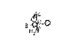 BOc1cc(Br)c2c(c1OCc1ccccc1)CN(C(C)=O)CC2